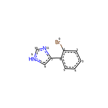 Brc1ccccc1-c1c[nH]cn1